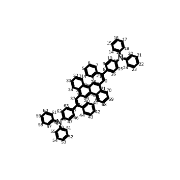 C(=C(c1ccccc1)c1ccc(N(c2ccccc2)c2ccccc2)cc1)c1cc2c3ccccc3c(C=C(c3ccccc3)c3ccc(N(c4ccccc4)c4ccccc4)cc3)cc2c2ccccc12